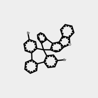 Brc1ccc2c(c1)C1(c3cc(Br)ccc3-c3ccccc3-2)c2ccccc2-c2c1ccc1oc3ccccc3c21